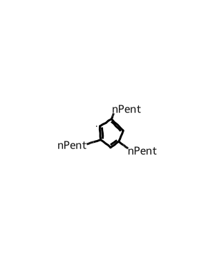 CCCCCc1[c]c(CCCCC)cc(CCCCC)c1